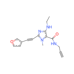 C#CCNC(=O)c1c(NCC)nc(C#Cc2ccoc2)n1C